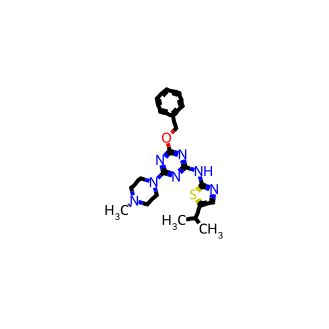 CC(C)c1cnc(Nc2nc(OCc3ccccc3)nc(N3CCN(C)CC3)n2)s1